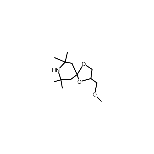 COCC1COC2(CC(C)(C)NC(C)(C)C2)O1